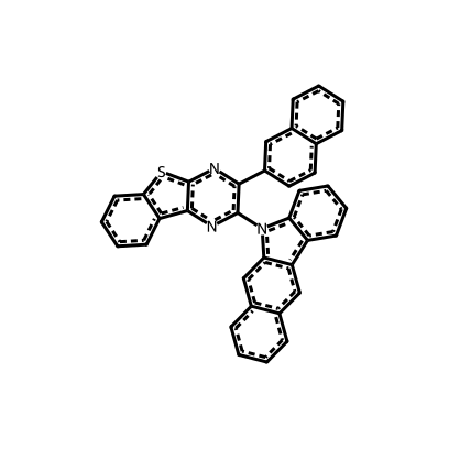 c1ccc2cc(-c3nc4sc5ccccc5c4nc3-n3c4ccccc4c4cc5ccccc5cc43)ccc2c1